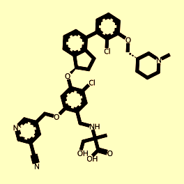 CN1CCC[C@H](COc2cccc(-c3cccc4c3CC[C@H]4Oc3cc(OCc4cncc(C#N)c4)c(CNC(C)(CO)C(=O)O)cc3Cl)c2Cl)C1